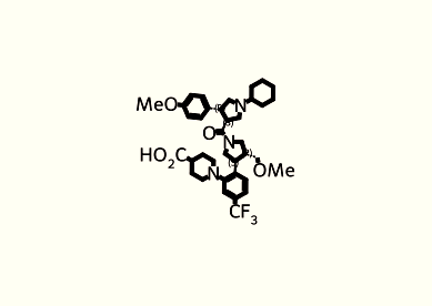 COC[C@H]1CN(C(=O)[C@@H]2CN(C3CCCCC3)C[C@H]2c2ccc(OC)cc2)C[C@@H]1c1ccc(C(F)(F)F)cc1N1CCC(C(=O)O)CC1